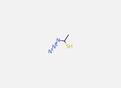 CC(S)N=[N+]=[N-]